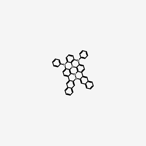 c1ccc(N2c3cccc4c3B3c5c2ccc2c5N5B(c6cc7ccccc7cc6-2)c2cc6ccccc6cc2-c2ccc(c3c25)N4c2ccccc2)cc1